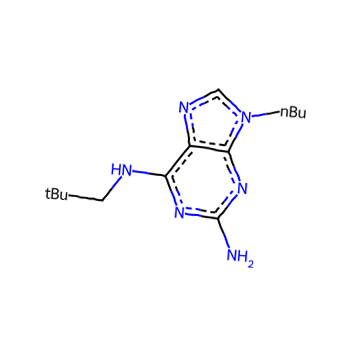 CCCCn1cnc2c(NCC(C)(C)C)nc(N)nc21